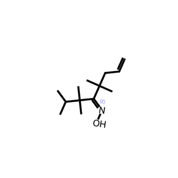 C=CCC(C)(C)/C(=N/O)C(C)(C)C(C)C